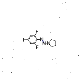 Fc1cc(I)cc(F)c1/N=N/N1CCCC1